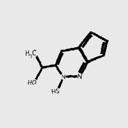 CC(O)c1cc2cccc-2nn1S